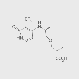 CC(COC[C@H](C)Nc1cn[nH]c(=O)c1C(F)(F)F)C(=O)O